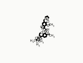 COc1ccc2c(c1S(=O)(=O)Nc1noc3cc(Cn4cccn4)c(Cl)c(OC)c13)OCCC2O[Si](C)(C)C(C)(C)C